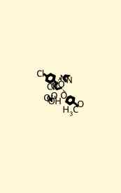 CC(=O)c1ccc(OC[C@@H]2CO[C@@](Cn3ccnc3)(c3ccc(Cl)cc3Cl)O2)cc1.O=[N+]([O-])O